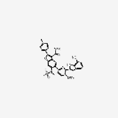 CNC(=O)c1c(-c2ccc(C)cc2)oc2cc(N(C)S(C)(=O)=O)c(-c3ccc(OC)c(-c4cc5cccc(C#N)c5[nH]4)n3)cc12